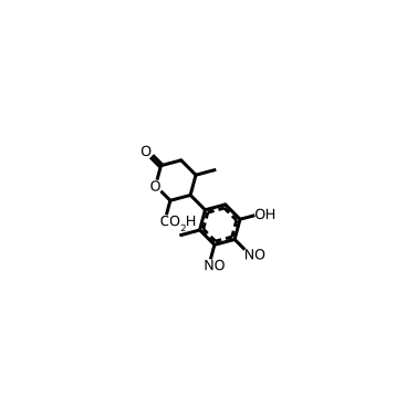 Cc1c(C2C(C)CC(=O)OC2C(=O)O)cc(O)c(N=O)c1N=O